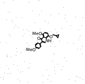 COc1ccc(-c2c[nH]c3c(OCC4CC4)ccc(OC)c3c2=O)cc1